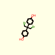 Oc1ccc(C(CBr)(CBr)c2ccc(O)cc2)cc1